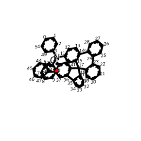 c1ccc(N(c2ccccc2)c2ccc3c(c2)C2(c4ccccc4-c4ccccc4-3)c3ccccc3-c3cc4c(cc32)oc2ccccc24)cc1